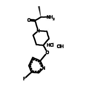 C[C@H](N)C(=O)N1CCC(Oc2ccc(F)cn2)CC1.Cl.Cl